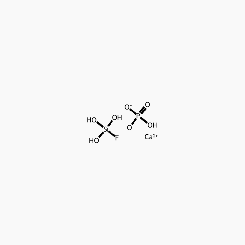 O=P([O-])([O-])O.O[Si](O)(O)F.[Ca+2]